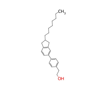 CCCCCCCCC1Cc2ccc(-c3ccc(CCO)cc3)cc2C1